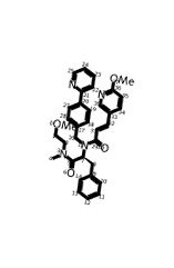 COCCN(C)C(=O)[C@H](Cc1ccccc1)N(Cc1ccc(-c2ccccn2)cc1)C(=O)/C=C/c1ccc(OC)nc1